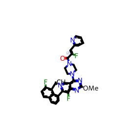 C#Cc1c(F)ccc2cccc(-c3ncc4c(N5CCN(C(=O)/C(F)=C/c6ccccn6)CC5)nc(OC)nc4c3F)c12